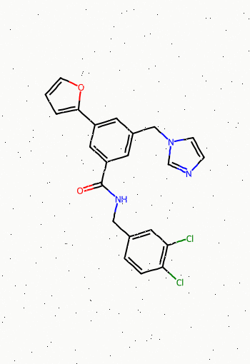 O=C(NCc1ccc(Cl)c(Cl)c1)c1cc(Cn2ccnc2)cc(-c2ccco2)c1